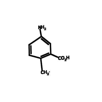 [CH2]c1ccc(N)cc1C(=O)O